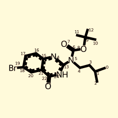 CC(C)CCN(C(=O)OC(C)(C)C)c1nc2ccc(Br)cc2c(=O)[nH]1